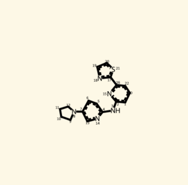 c1cc(Nc2ccc(N3CCCC3)cn2)nc(-c2nccs2)c1